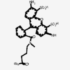 CN(CCCC(=O)C(C)(C)C)C(=O)c1ccccc1-c1c2ccc(=N)c(S(=O)(=O)O)c-2oc2c(S(=O)(=O)O)c(N)ccc12